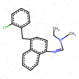 CCN(C)/C=N\c1ccc(Cc2ccccc2Cl)c2ccccc12